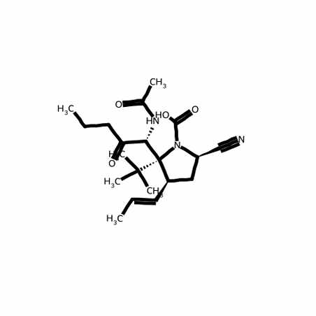 CC=C[C@@H]1C[C@H](C#N)N(C(=O)O)[C@@]1([C@@H](NC(C)=O)C(=O)CCC)C(C)(C)C